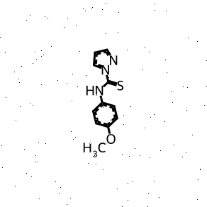 COc1ccc(NC(=S)n2cccn2)cc1